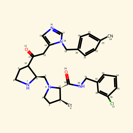 CC[C@H]1CCN(C[C@H]2NCCC2C(=O)Cc2cncn2Cc2ccc(C#N)cc2)[C@@H]1C(=O)NCc1cccc(Cl)c1